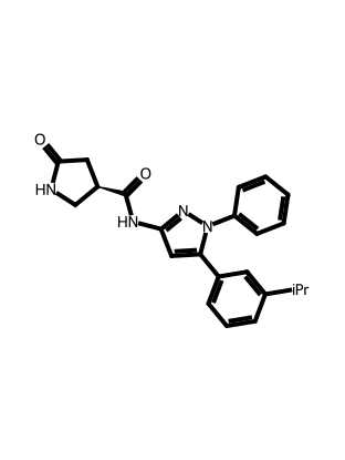 CC(C)c1cccc(-c2cc(NC(=O)[C@H]3CNC(=O)C3)nn2-c2ccccc2)c1